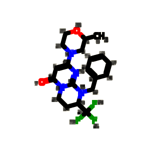 CC1CN(c2cc(=O)n3c(n2)N(Cc2ccccc2)C(C(F)(F)F)CC3)CCO1